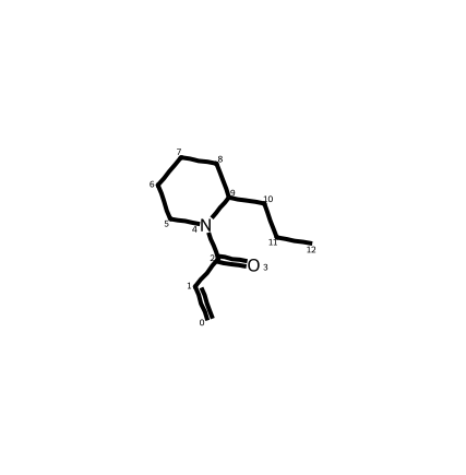 C=CC(=O)N1CCCCC1CCC